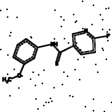 COc1cccc(NC(=S)c2ccc(F)nc2)c1